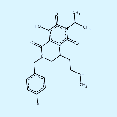 CNCCC1CN(Cc2ccc(F)cc2)C(=O)c2c(O)c(=O)n(C(C)C)c(=O)n21